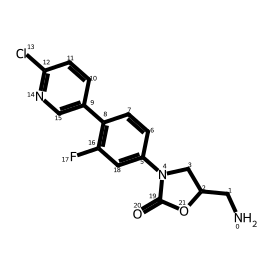 NCC1CN(c2ccc(-c3ccc(Cl)nc3)c(F)c2)C(=O)O1